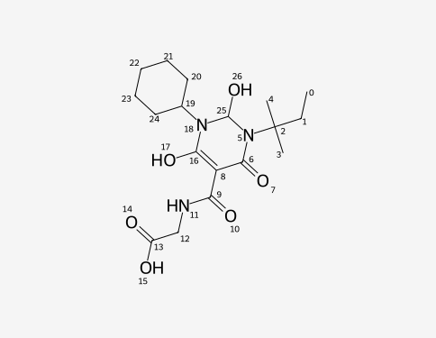 CCC(C)(C)N1C(=O)C(C(=O)NCC(=O)O)=C(O)N(C2CCCCC2)C1O